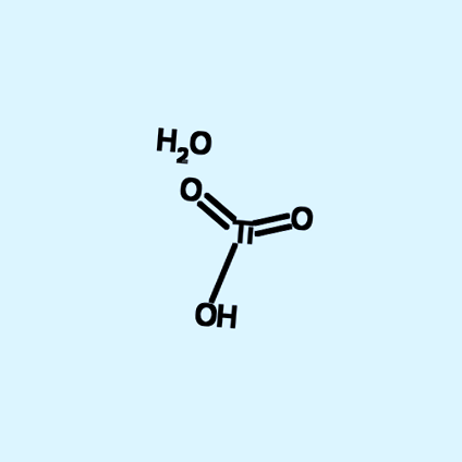 O.[O]=[Ti](=[O])[OH]